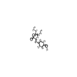 CCCCC(CC)C/C(=C\c1ccc(OC)cc1)C(=O)O